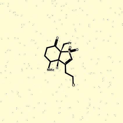 CNC1CCC(=O)[C@@]2(CC(C)C)[C@@H]1C(CCCl)=CS2(=O)=O